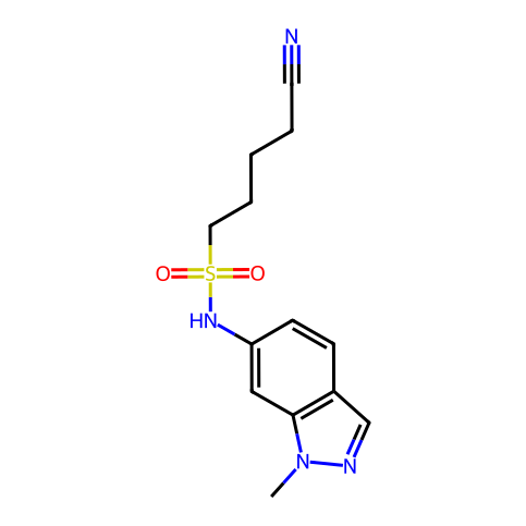 Cn1ncc2ccc(NS(=O)(=O)CCCCC#N)cc21